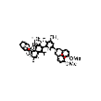 COc1ccc(CN(Cc2ccc(OC)cc2)c2cc(C)c(C(F)(F)F)c(-c3c(SC(F)(F)F)cc4c(N5CC6CCC(C5)N6C(=O)OC(C)(C)C)nc(F)nc4c3F)n2)cc1